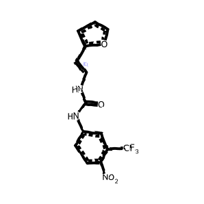 O=C(N/C=C/c1ccco1)Nc1ccc([N+](=O)[O-])c(C(F)(F)F)c1